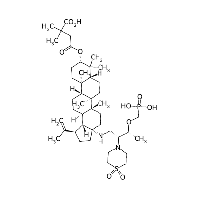 C=C(C)[C@@H]1CC[C@]2(NC[C@H]([C@@H](C)OCP(=O)(O)O)N3CCS(=O)(=O)CC3)CC[C@]3(C)[C@H](CC[C@@H]4[C@@]5(C)CC[C@H](OC(=O)CC(C)(C)C(=O)O)C(C)(C)[C@@H]5CC[C@]43C)[C@@H]12